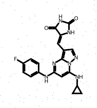 O=C1NC(=O)/C(=C/c2cnn3c(NC4CC4)cc(Nc4ccc(F)cc4)nc23)N1